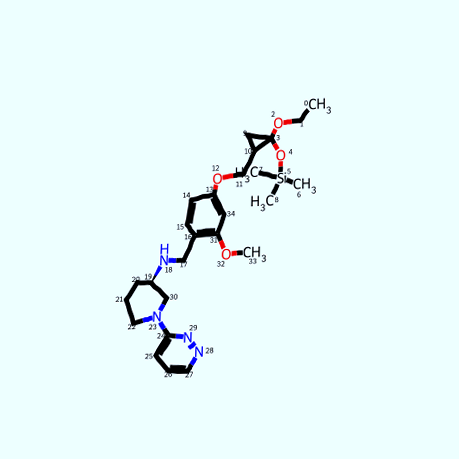 CCOC1(O[Si](C)(C)C)CC1COc1ccc(CN[C@@H]2CCCN(c3cccnn3)C2)c(OC)c1